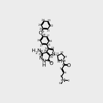 CN(C)CC=CC(=O)N1CC[C@@H](n2cc(-c3ccc(Oc4ccccc4)cc3)c3c(N)n[nH]c(=O)c32)C1